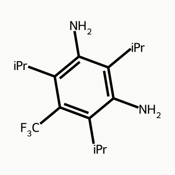 CC(C)c1c(N)c(C(C)C)c(C(F)(F)F)c(C(C)C)c1N